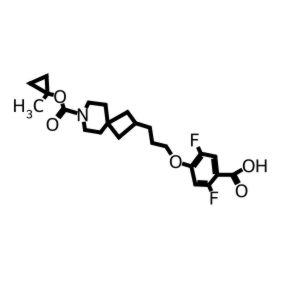 CC1(OC(=O)N2CCC3(CC2)CC(CCCOc2cc(F)c(C(=O)O)cc2F)C3)CC1